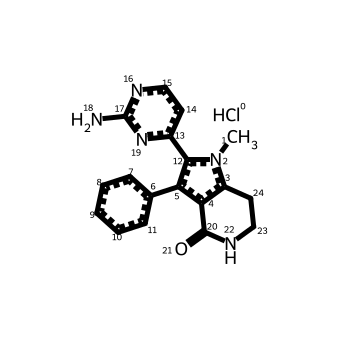 Cl.Cn1c2c(c(-c3ccccc3)c1-c1ccnc(N)n1)C(=O)NCC2